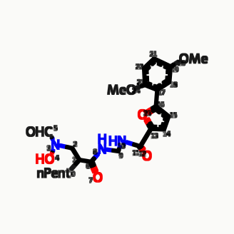 CCCCCC(CN(O)C=O)C(=O)NCNC(=O)c1ccc(-c2cc(OC)ccc2OC)o1